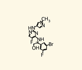 Cn1cc(Nc2ncc(F)c(N[C@H](CO)c3cc(F)cc(Br)c3)n2)cn1